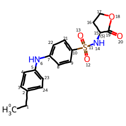 CCc1ccc(Nc2ccc(S(=O)(=O)N[C@H]3CCOC3=O)cc2)cc1